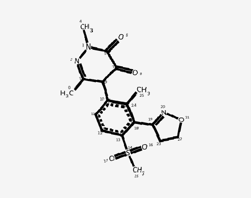 CC1=NN(C)C(=O)C(=O)C1c1ccc(S(C)(=O)=O)c(C2=NOCC2)c1C